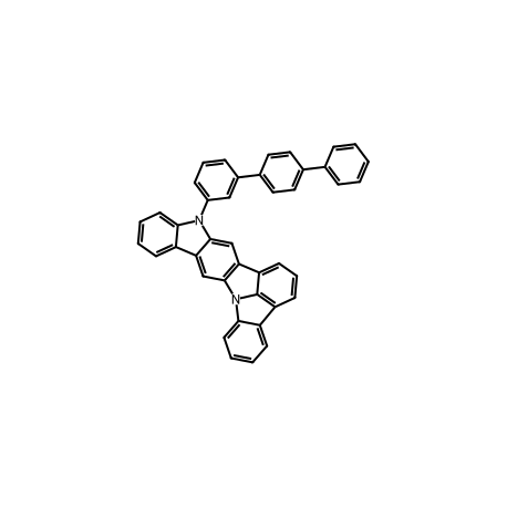 c1ccc(-c2ccc(-c3cccc(-n4c5ccccc5c5cc6c(cc54)c4cccc5c7ccccc7n6c54)c3)cc2)cc1